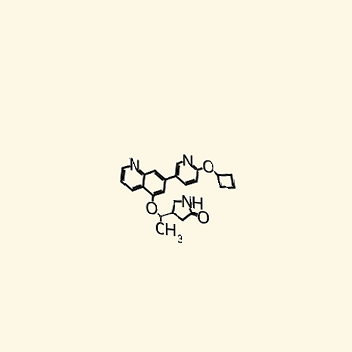 C[C@@H](Oc1cc(-c2ccc(OC3CCC3)nc2)cc2ncccc12)C1CNC(=O)C1